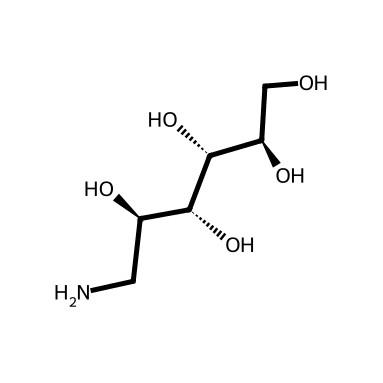 NC[C@@H](O)[C@@H](O)[C@H](O)[C@H](O)CO